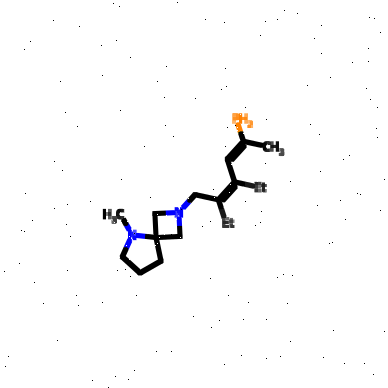 CCC(/C=C(\C)P)=C(\CC)CN1CC2(CCCN2C)C1